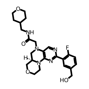 O=C(CN1C[C@@H]2COCCN2c2nc(-c3cc(CO)ccc3F)ncc21)NCC1CCOCC1